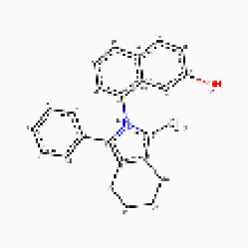 Cc1c2c(c(-c3ccccc3)n1-c1cccc3ccc(O)cc13)CCCC2